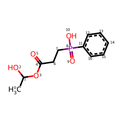 CC(O)OC(=O)CCP(=O)(O)c1ccccc1